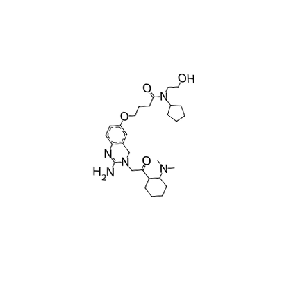 CN(C)C1CCCCC1C(=O)CN1Cc2cc(OCCCC(=O)N(CCO)C3CCCC3)ccc2N=C1N